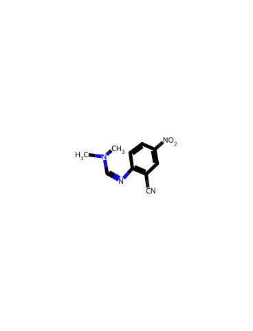 CN(C)/C=N\c1ccc([N+](=O)[O-])cc1C#N